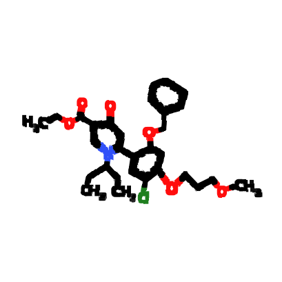 CCOC(=O)c1cn(C(CC)CC)c(-c2cc(Cl)c(OCCCOC)cc2OCc2ccccc2)cc1=O